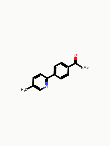 CNC(=O)c1ccc(-c2ccc(C)cn2)cc1